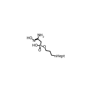 CCCCCCCCCCOP(=O)(O)CC(N)=NO